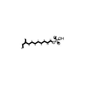 CCC(C)CCCCCCCCOS(=O)(=O)O